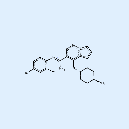 N/C(=N\c1ccc(O)cc1Cl)c1cnn2cccc2c1N[C@H]1CC[C@H](N)CC1